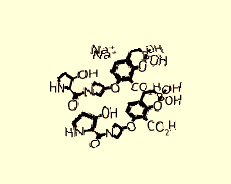 O=C(O)c1c(OC2CN(C(=O)[C@H]3NCC[C@H]3O)C2)ccc2c1O[B-](O)(O)CC2.O=C(O)c1c(OC2CN(C(=O)[C@H]3NCC[C@H]3O)C2)ccc2c1O[B-](O)(O)CC2.[Na+].[Na+]